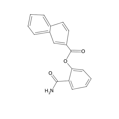 NC(=O)c1ccccc1OC(=O)c1ccc2ccccc2c1